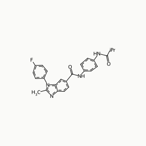 Cc1nc2ccc(C(=O)Nc3ccc(NC(=O)C(C)C)cc3)cc2n1-c1ccc(F)cc1